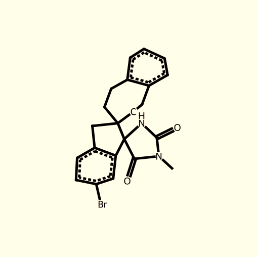 CN1C(=O)NC2(C1=O)c1cc(Br)ccc1CC21CCc2ccccc2CC1